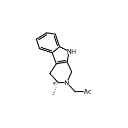 CC(=O)CN1Cc2[nH]c3ccccc3c2C[C@H]1C